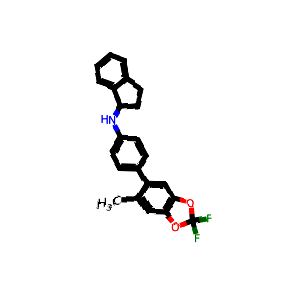 Cc1cc2c(cc1-c1ccc(NC3CCc4ccccc43)cc1)OC(F)(F)O2